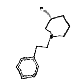 F[C@@H]1CCCN(CCc2ccccc2)C1